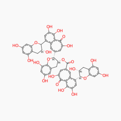 O=C(O[C@@H]1Cc2cc(O)cc(O)c2O[C@@H]1c1cc(O)c(=O)c2c(O)c(O)cc(C3Oc4cc(O)cc(O)c4C[C@H]3O)c2c1)c1cc(O)c(=O)c2c(O)c(O)cc([C@H]3Oc4cc(O)cc(O)c4C[C@H]3O)c2c1